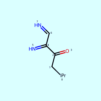 CC(C)CC(=O)C(=N)C=N